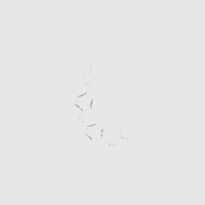 Cc1cc(N2CC(OC(F)(F)F)C2)ccc1Nc1ccc2c(c1)OCC(O)CN2